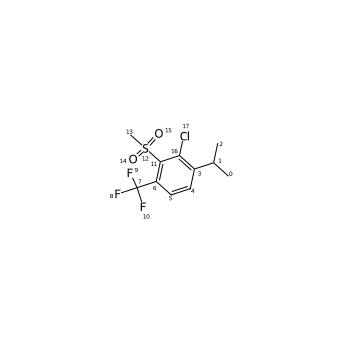 CC(C)c1ccc(C(F)(F)F)c(S(C)(=O)=O)c1Cl